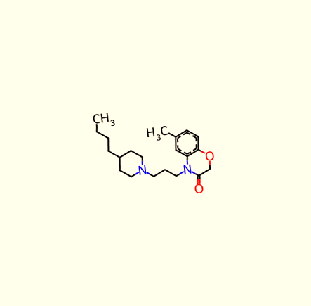 CCCCC1CCN(CCCN2C(=O)COc3ccc(C)cc32)CC1